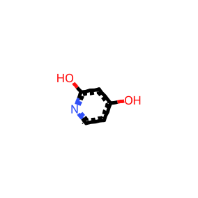 Oc1c[c]nc(O)c1